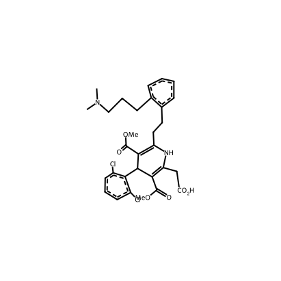 COC(=O)C1=C(CCc2ccccc2CCCN(C)C)NC(CC(=O)O)=C(C(=O)OC)C1c1c(Cl)cccc1Cl